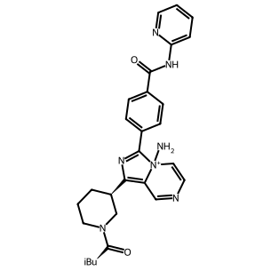 CC[C@H](C)C(=O)N1CCC[C@@H](C2=C3C=NC=C[N+]3(N)C(c3ccc(C(=O)Nc4ccccn4)cc3)=N2)C1